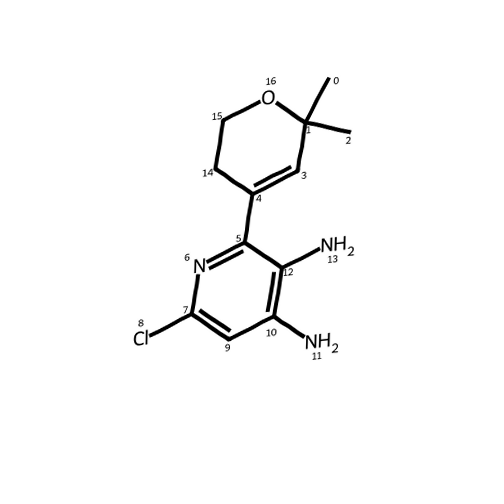 CC1(C)C=C(c2nc(Cl)cc(N)c2N)CCO1